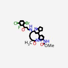 COC(=O)Nc1ccc2c(c1)NC(=O)C(C)CCCC(NCCC(=O)c1c(Br)ccc(Cl)c1F)c1cc-2c2c(n1)CCC2